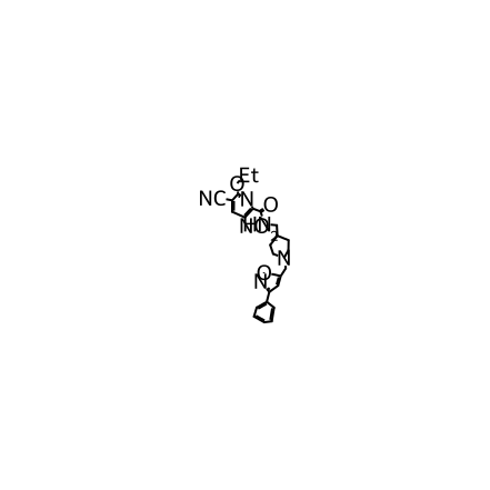 CCOc1nc(C(=O)NCC2CCN(Cc3cc(-c4ccccc4)no3)CC2)c([N+](=O)[O-])cc1C#N